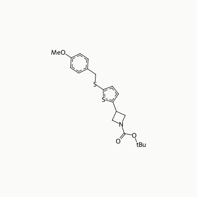 COc1ccc(CSc2ccc(C3CN(C(=O)OC(C)(C)C)C3)s2)cc1